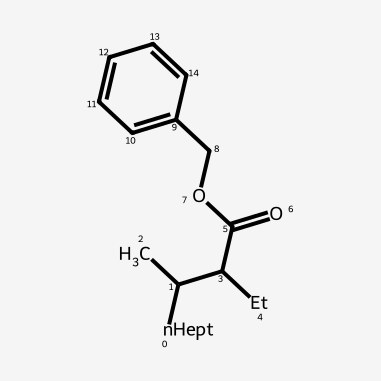 CCCCCCCC(C)C(CC)C(=O)OCc1ccccc1